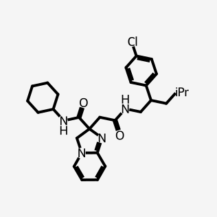 CC(C)CC(CNC(=O)CC1(C(=O)NC2CCCCC2)CN2C=CC=CC2=N1)c1ccc(Cl)cc1